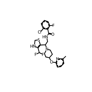 Cc1cccc(OC2CCN(C(CNC(=O)c3c(F)cccc3Cl)C3=C(C(F)F)NCS3)CC2)n1